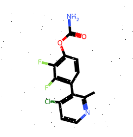 Cc1nccc(Cl)c1-c1ccc(OC(N)=O)c(F)c1F